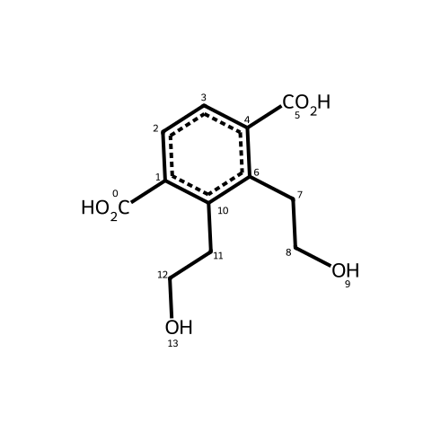 O=C(O)c1ccc(C(=O)O)c(CCO)c1CCO